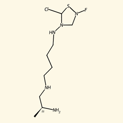 C[C@H](N)CNCCCCNN1CN(F)SC1Cl